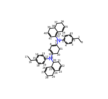 CCc1ccc(N(C2=CC=C(N(c3ccc(CC)cc3)C3CC=CC4=C3C=CCC4)CC2)C2=C3C=CCCC3CC=C2)cc1